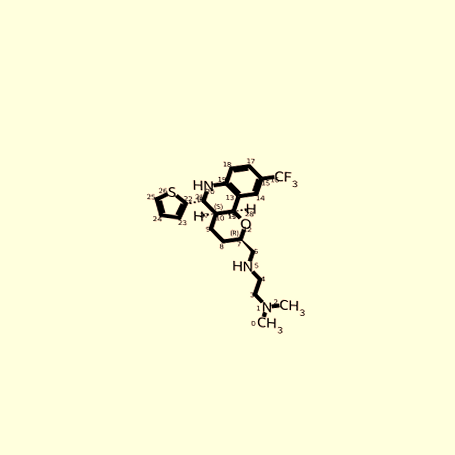 CN(C)CCNC[C@H]1CC[C@@H]2[C@H](O1)c1cc(C(F)(F)F)ccc1N[C@H]2c1cccs1